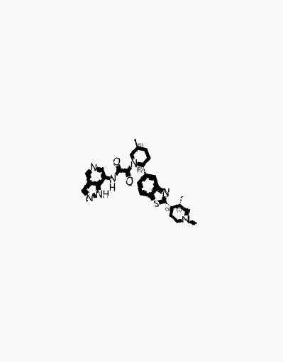 C[C@H]1CC[C@H](c2ccc3sc([C@H]4CCN(C)C[C@H]4C)nc3c2)N(C(=O)C(=O)Nc2cncc3cn[nH]c23)C1